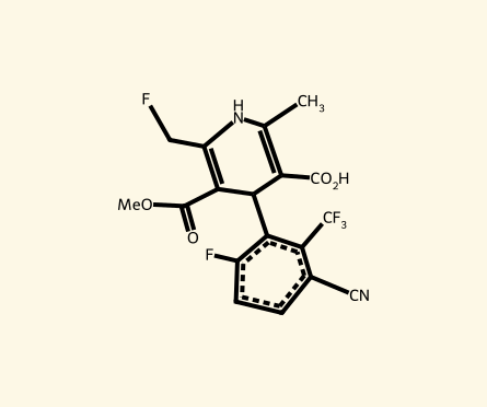 COC(=O)C1=C(CF)NC(C)=C(C(=O)O)C1c1c(F)ccc(C#N)c1C(F)(F)F